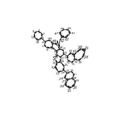 c1ccc(-c2ccc3c4c5sc6ccc(-c7ccc8ccccc8c7)cc6c5c(-c5ccc6ccccc6c5)cc4n(-c4ccccc4)c3c2)cc1